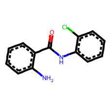 Nc1ccccc1C(=O)Nc1ccccc1Cl